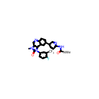 CNC(=O)Nc1ccc(-c2ccc3ncc4c(c3c2)n(-c2ccc(F)c(C(F)(F)F)c2)c(=O)n4C)cn1